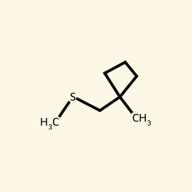 CSCC1(C)CCC1